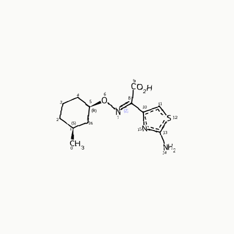 C[C@H]1CCC[C@@H](O/N=C(\C(=O)O)c2csc(N)n2)C1